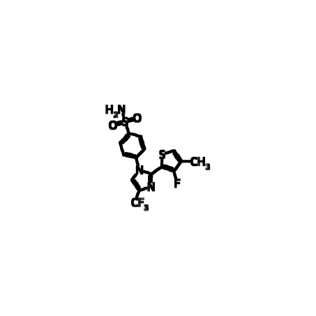 Cc1csc(-c2nc(C(F)(F)F)cn2-c2ccc(S(N)(=O)=O)cc2)c1F